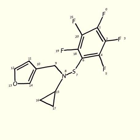 Fc1c(F)c(F)c(SN(Cc2ccoc2)C2CC2)c(F)c1F